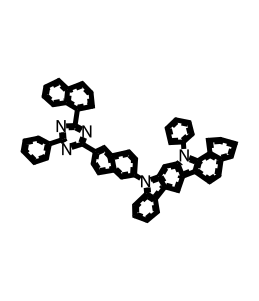 c1ccc(-c2nc(-c3ccc4cc(-n5c6ccccc6c6cc7c8ccc9ccccc9c8n(-c8ccccc8)c7cc65)ccc4c3)nc(-c3cccc4ccccc34)n2)cc1